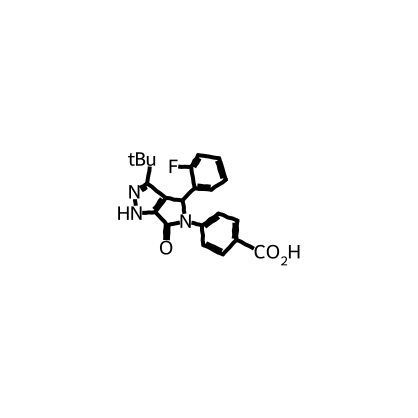 CC(C)(C)c1n[nH]c2c1C(c1ccccc1F)N(c1ccc(C(=O)O)cc1)C2=O